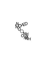 O=C(N[C@H]1CC[C@@H](Oc2cc(N3CCOCC3)cc3nccnc23)CC1)c1nc[nH]n1